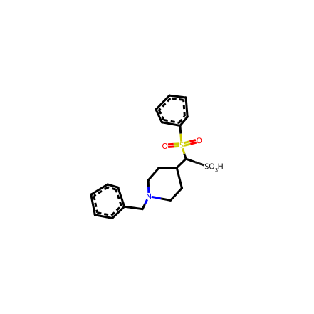 O=S(=O)(O)C(C1CCN(Cc2ccccc2)CC1)S(=O)(=O)c1ccccc1